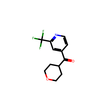 O=C(c1ccnc(C(F)(F)F)c1)C1CCOCC1